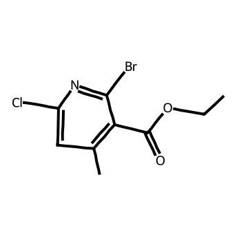 CCOC(=O)c1c(C)cc(Cl)nc1Br